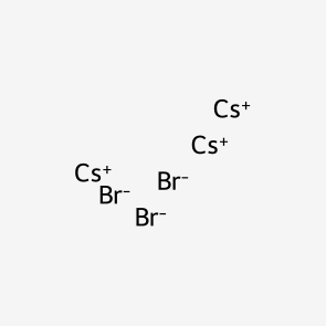 [Br-].[Br-].[Br-].[Cs+].[Cs+].[Cs+]